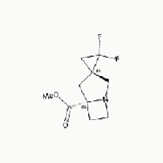 COC(=O)[C@@]12CCN1C[C@]1(CC1(F)F)C2